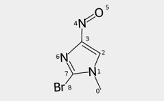 Cn1cc(N=O)nc1Br